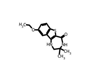 CCOc1ccc2sc3c(c2c1)NCC(C)(C)NC3=O